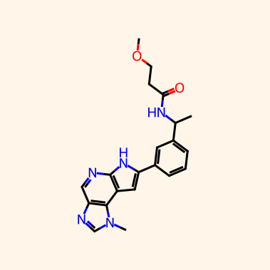 COCCC(=O)NC(C)c1cccc(-c2cc3c(ncc4ncn(C)c43)[nH]2)c1